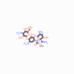 CC(C)(C)OC(=O)N[C@H]1C[C@@H](N)[C@H](O[C@H]2O[C@H](CO)[C@@H](O)[C@H](N)[C@H]2O)[C@@H](O)C1O[C@H]1O[C@H](CN)[C@@H](O)C[C@H]1N